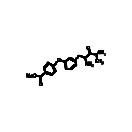 COC(=O)c1ccc(Oc2cccc(CC(N)C(=O)N(C)C)c2)cc1